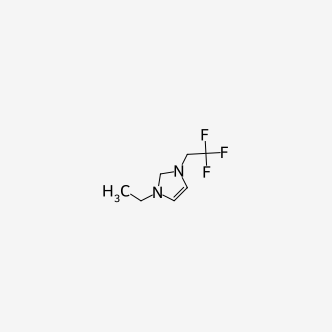 CCN1C=CN(CC(F)(F)F)C1